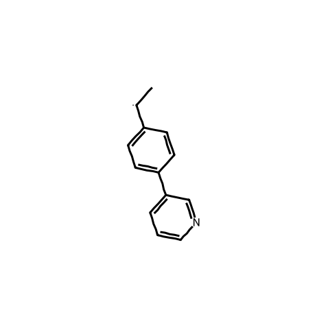 C[CH]c1ccc(-c2cccnc2)cc1